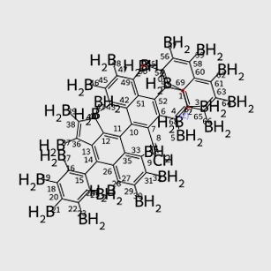 BC/C(B)=C(/B)c1c(C#C)c(-c2c3c(c(-c4c(B)c(B)c(B)c(B)c4B)c4c(B)c(B)c(B)c(B)c24)C(B)=C(B)C3B)c2c(B)c(B)c(B)c(B)c2c1-c1c(B)c(B)c(B)c2c(B)c(B)c(B)c(B)c12